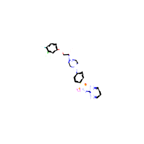 O=C(COc1ccc(F)c(Cl)c1)N1CCN(c2ccc(S(=O)(=O)Nc3ncccn3)cc2)CC1